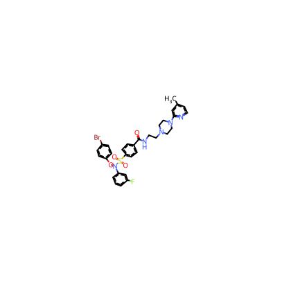 Cc1ccnc(N2CCN(CCNC(=O)c3ccc(S(=O)(=O)N(Oc4ccc(Br)cc4)c4cccc(F)c4)cc3)CC2)c1